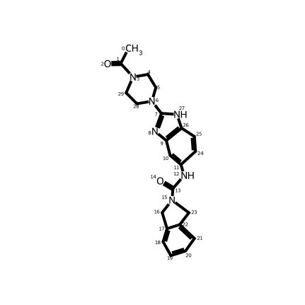 CC(=O)N1CCN(c2nc3cc(NC(=O)N4Cc5ccccc5C4)ccc3[nH]2)CC1